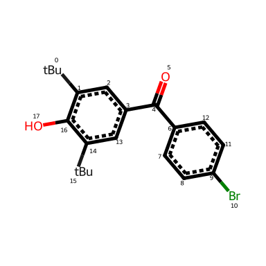 CC(C)(C)c1cc(C(=O)c2ccc(Br)cc2)cc(C(C)(C)C)c1O